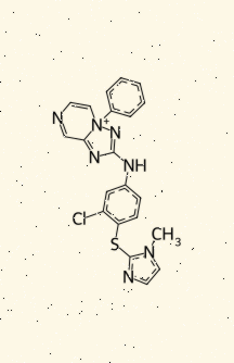 Cn1ccnc1Sc1ccc(NC2=N[N+]3(c4ccccc4)C=CN=CC3=N2)cc1Cl